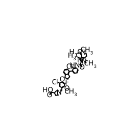 COc1c(CN2CCC(C(=O)O)C2)cc(Cl)c(OC2CCc3c(-c4cccc(NC(=O)c5nc6c(n5C)CCN(C)C6(C)C)c4Cl)cccc32)c1F